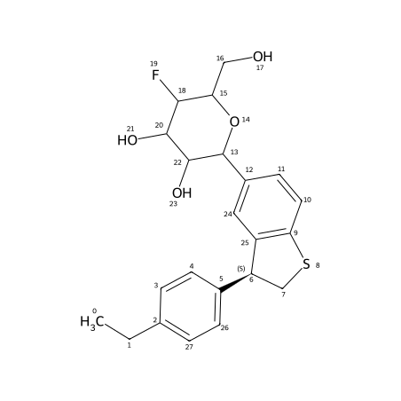 CCc1ccc([C@@H]2CSc3ccc(C4OC(CO)C(F)C(O)C4O)cc32)cc1